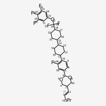 CCC/C=C/C1COC(c2ccc(C3CCC(C4CCC(C(F)(F)Oc5cc(F)c(F)c(F)c5)CC4)CC3)c(F)c2)OC1